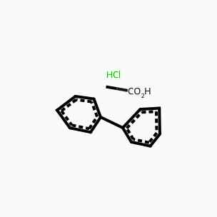 CC(=O)O.Cl.c1ccc(-c2ccccc2)cc1